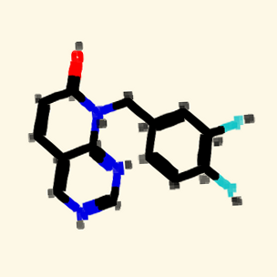 O=c1ccc2cncnc2n1Cc1ccc(F)c(F)c1